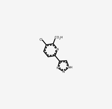 O=C(O)c1nc(-c2c[nH]nn2)ccc1Cl